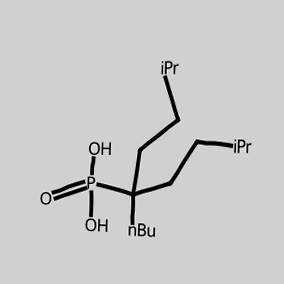 CCCCC(CCC(C)C)(CCC(C)C)P(=O)(O)O